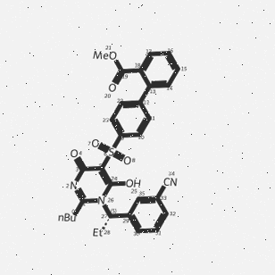 CCCCc1nc(=O)c(S(=O)(=O)c2ccc(-c3ccccc3C(=O)OC)cc2)c(O)n1[C@@H](CC)c1cccc(C#N)c1